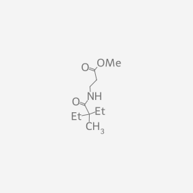 CCC(C)(CC)C(=O)NCCC(=O)OC